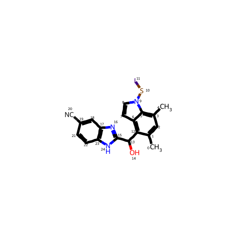 Cc1cc(C)c2c(ccn2SI)c1C(O)c1nc2cc(C#N)ccc2[nH]1